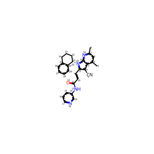 Cc1cc(C)c2c(C#N)c(C=CC(=O)Nc3cccnc3)n([C@H]3CCCc4ccccc43)c2n1